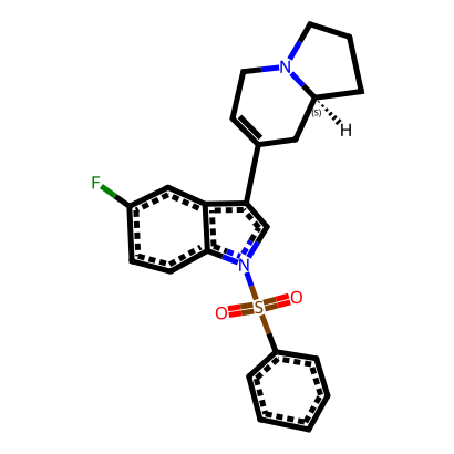 O=S(=O)(c1ccccc1)n1cc(C2=CCN3CCC[C@H]3C2)c2cc(F)ccc21